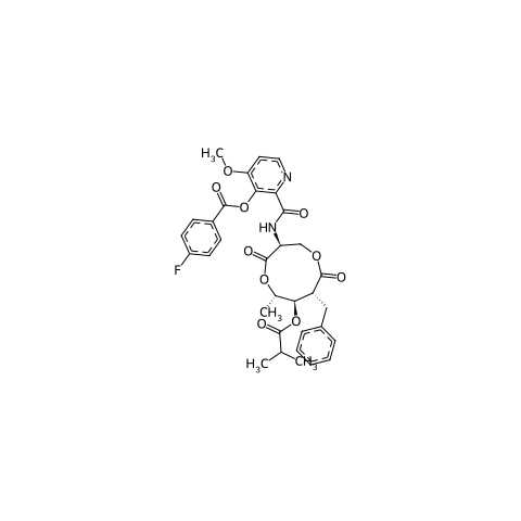 COc1ccnc(C(=O)N[C@H]2COC(=O)[C@H](Cc3ccccc3)[C@@H](OC(=O)C(C)C)[C@H](C)OC2=O)c1OC(=O)c1ccc(F)cc1